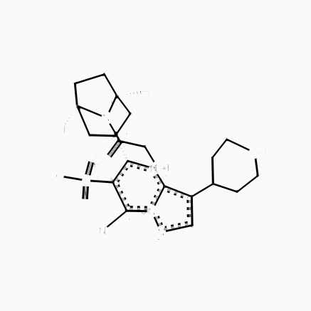 CS(=O)(=O)c1c([C@@H]2C[C@H]3CC[C@@H](C2)N3C(=O)CO)nc2c(C3CCOCC3)cnn2c1N